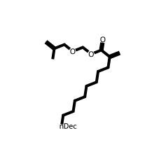 C=C(C)COCOC(=O)C(=C)CCCCCCCCCCCCCCCCCC